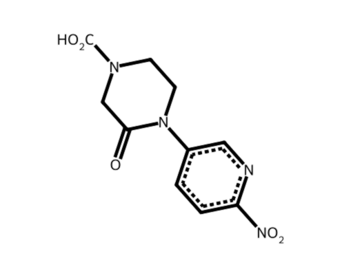 O=C(O)N1CCN(c2ccc([N+](=O)[O-])nc2)C(=O)C1